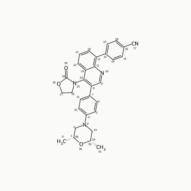 C[C@@H]1CN(c2ccc(-c3cnc4c(-c5ccc(C#N)cc5)cccc4c3N3CCOC3=O)cc2)C[C@H](C)O1